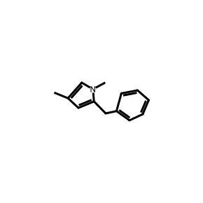 Cc1cc(Cc2ccccc2)n(C)c1